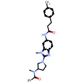 CC(C)C(=O)N(C)C1CCN(c2nc3ccc(NC(=O)CCc4ccc(C(F)(F)F)cc4)cc3n2C)C1